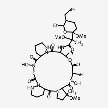 CCC1OC(OC)(C(C)(OC)C(=O)NC2C(=O)N3NCCCC3C(=O)N(O)CC(=O)N3NCCCC3C(=O)N3CCC(C)(OC)C3C(=O)N(O)C(C(C)C)C(=O)OC2C(C)C)CCC1CC(C)C